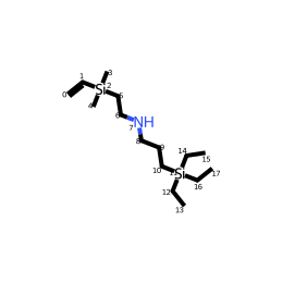 C=C[Si](C)(C)CCNCCC[Si](CC)(CC)CC